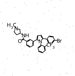 CN1CC[C@H](NC(=O)c2cccc(-c3ccc(-c4ccc(Br)cc4)n3-c3ccccc3C(F)(F)F)c2)C1